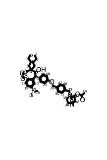 CCCCC1(CCCC)CS(=O)(=O)c2ccc(N(C)C)cc2[C@@H](c2ccc(OCc3ccc(C[N+]45CCN(CC4)CC5OC(C)=O)cc3)cc2)[C@H]1O